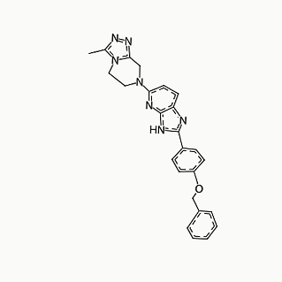 Cc1nnc2n1CCN(c1ccc3nc(-c4ccc(OCc5ccccc5)cc4)[nH]c3n1)C2